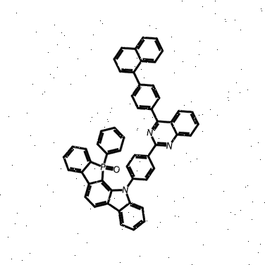 O=P1(c2ccccc2)c2ccccc2-c2ccc3c4ccccc4n(-c4ccc(-c5nc(-c6ccc(-c7cccc8ccccc78)cc6)c6ccccc6n5)cc4)c3c21